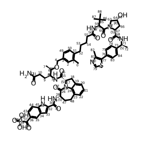 Cc1cc(CO[C@H](C)[C@H](CCC(N)=O)NC(=O)[C@@H]2Cc3cccc4c3N2C(=O)[C@@H](NC(=O)c2cc3cc(C(=O)P(=O)(O)O)ccc3[nH]2)CC4)ccc1CCCCC(=O)N[C@H](C(=O)N1C[C@H](O)C[C@H]1C(=O)N[C@@H](C)c1ccc(-c2scnc2C)cc1)C(C)(C)C